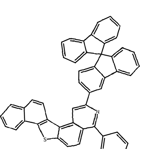 c1ccc(-c2nc(-c3ccc4c(c3)-c3ccccc3C43c4ccccc4-c4ccccc43)cc3c2ccc2sc4c5ccccc5ccc4c23)cc1